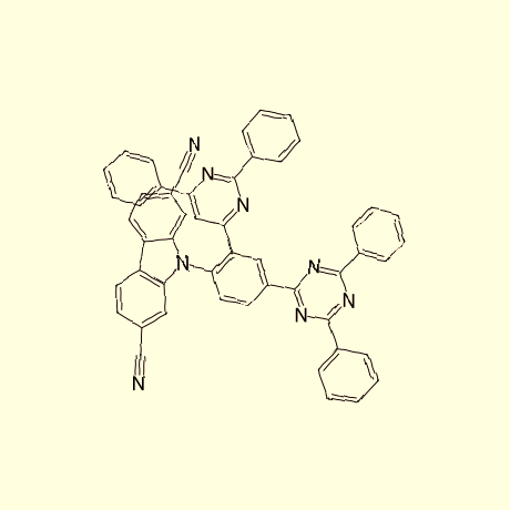 N#Cc1ccc2c3ccc(C#N)cc3n(-c3ccc(-c4nc(-c5ccccc5)nc(-c5ccccc5)n4)cc3-c3cc(-c4ccccc4)nc(-c4ccccc4)n3)c2c1